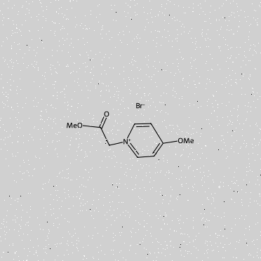 COC(=O)C[n+]1ccc(OC)cc1.[Br-]